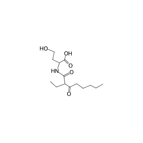 CCCCCC(=O)C(CC)C(=O)NC(CCO)C(=O)O